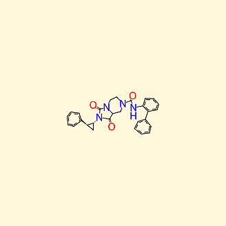 O=C(Nc1ccccc1-c1ccccc1)N1CCN2C(=O)N([C@@H]3C[C@H]3c3ccccc3)C(=O)C2C1